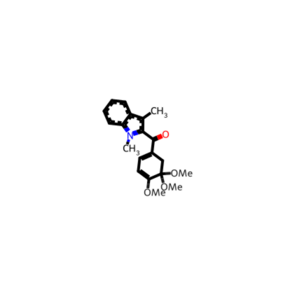 COC1=CC=C(C(=O)c2c(C)c3ccccc3n2C)CC1(OC)OC